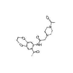 CC(=O)c1cc2c(cc1NC(=O)CN1CCN(C(C)=O)CC1)OCCO2